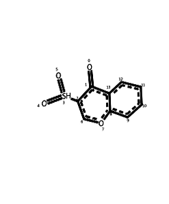 O=c1c([SH](=O)=O)coc2ccccc12